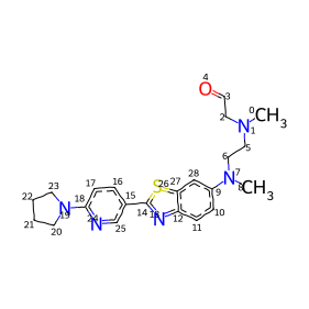 CN(CC=O)CCN(C)c1ccc2nc(-c3ccc(N4CCCC4)nc3)sc2c1